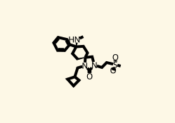 CN[C@]1(c2ccccc2)CC[C@@]2(CC1)CN(CCS(C)(=O)=O)C(=O)N2CC1CCC1